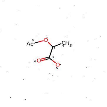 CC(=O)OC(C)C([O])=O